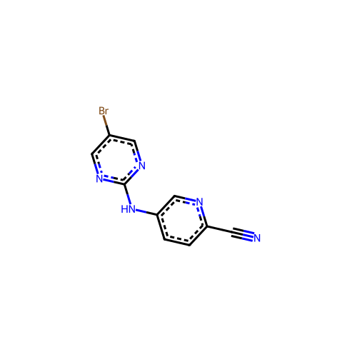 N#Cc1ccc(Nc2ncc(Br)cn2)cn1